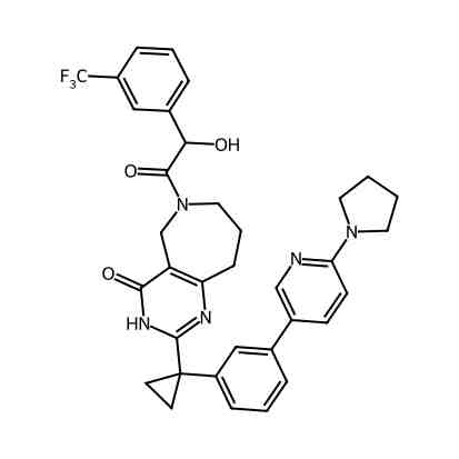 O=C(C(O)c1cccc(C(F)(F)F)c1)N1CCCc2nc(C3(c4cccc(-c5ccc(N6CCCC6)nc5)c4)CC3)[nH]c(=O)c2C1